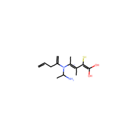 C=CCC(=C)N(/C(C)=C(\C)C(S)=C(O)O)C(C)N